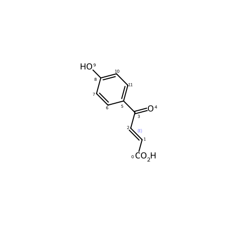 O=C(O)/C=C/C(=O)c1ccc(O)cc1